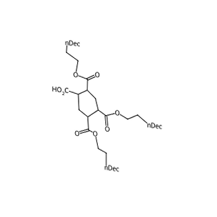 CCCCCCCCCCCCOC(=O)C1CC(C(=O)OCCCCCCCCCCCC)C(C(=O)OCCCCCCCCCCCC)CC1C(=O)O